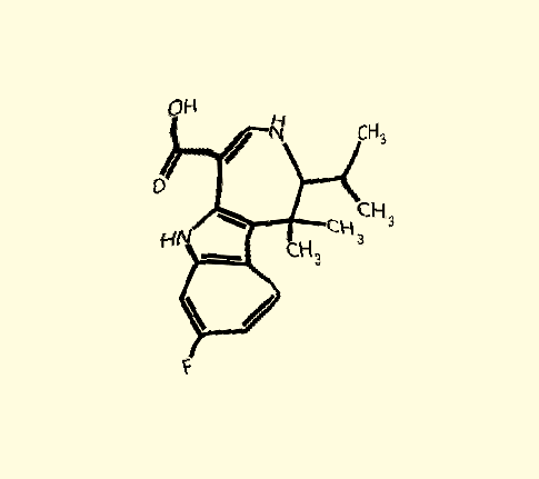 CC(C)C1NC=C(C(=O)O)c2[nH]c3cc(F)ccc3c2C1(C)C